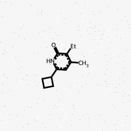 CCc1c(C)cc(C2CCC2)[nH]c1=O